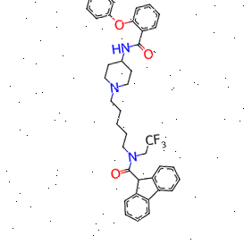 O=C(NC1CCN(CCCCCN(CC(F)(F)F)C(=O)C2c3ccccc3-c3ccccc32)CC1)c1ccccc1Oc1ccccc1